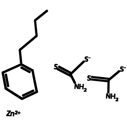 CCCCc1ccccc1.NC(=S)[S-].NC(=S)[S-].[Zn+2]